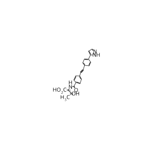 C[C@@H](O)[C@H](NC(=O)c1ccc(C#Cc2ccc(-c3ccn[nH]3)cc2)cc1)C(=O)O